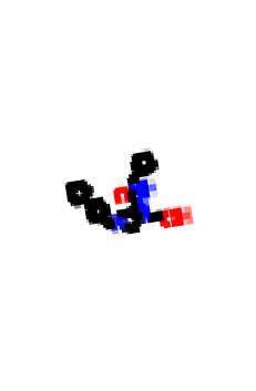 O=C(NCc1ccccc1)c1nn(CCO)c2c1CN(Cc1ccc(-c3ccccc3)cc1)CC2